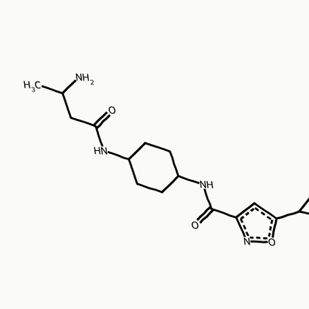 CC(N)CC(=O)NC1CCC(NC(=O)c2cc(C3CC3)on2)CC1